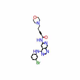 O=C(C#CCCN1CCOCC1)Nc1cc2c(Nc3cccc(Br)c3)ncnc2cn1